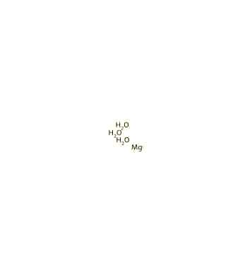 O.O.O.[Mg]